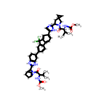 COC(=O)NC(C(=O)N1C2CCC(C2)C1c1nc2ccc(-c3ccc4c(c3)C(F)(F)c3cc(-c5cnc(C6CC7(CC7)CN6C(=O)[C@@H](NC(=O)OC)C(C)C)[nH]5)ccc3-4)cc2[nH]1)C(C)C